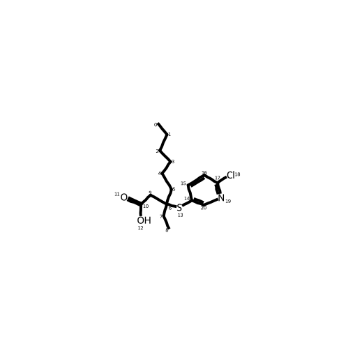 CCCCCCC(CC)(CC(=O)O)Sc1ccc(Cl)nc1